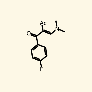 CC(=O)C(=CN(C)C)C(=O)c1ccc(F)cc1